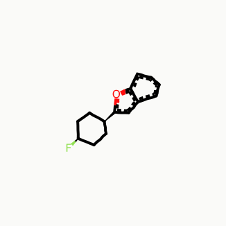 F[C@H]1CC[C@@H](c2cc3ccccc3o2)CC1